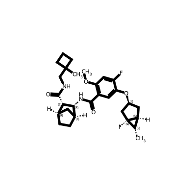 COc1cc(F)c(O[C@H]2C[C@H]3[C@H](C)[C@@]3(I)C2)cc1C(=O)N[C@@H]1[C@H]2CC[C@H](C2)[C@@H]1C(=O)NCC1(C)CCC1